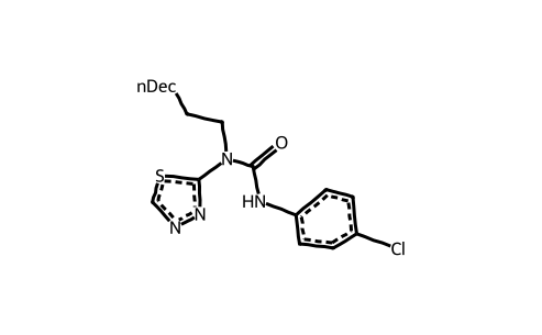 CCCCCCCCCCCCN(C(=O)Nc1ccc(Cl)cc1)c1nncs1